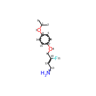 CC(C)Oc1ccc(OCC(F)=CCN)cc1